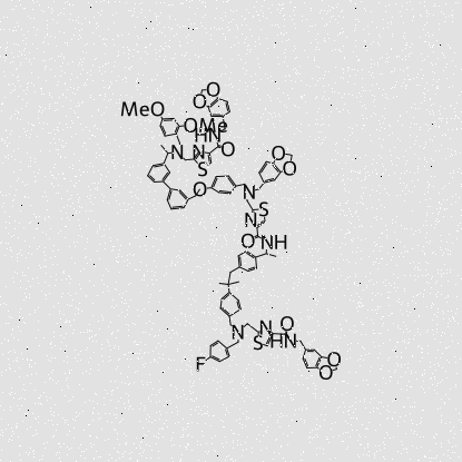 COc1ccc(CN(Cc2nc(C(=O)NCc3ccc4c(c3)OCO4)cs2)C(C)c2cccc(-c3cccc(COc4ccc(CN(Cc5ccc6c(c5)OCO6)Cc5nc(C(=O)NC(C)c6ccc(CC(C)(C)c7ccc(CN(Cc8ccc(F)cc8)Cc8nc(C(=O)NCc9ccc%10c(c9)OCO%10)cs8)cc7)cc6)cs5)cc4)c3)c2)c(OC)c1